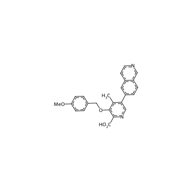 COc1ccc(COc2c(C(=O)O)ncc(-c3ccc4cnccc4c3)c2C)cc1